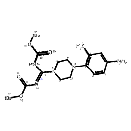 Cc1cc(N)ccc1N1CCN(/C(=N/C(=O)OC(C)(C)C)NC(=O)OC(C)(C)C)CC1